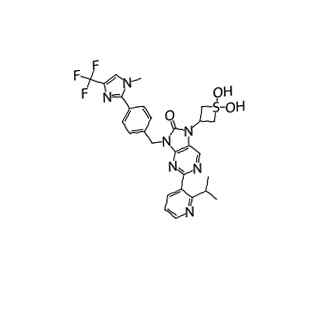 CC(C)c1ncccc1-c1ncc2c(n1)n(Cc1ccc(-c3nc(C(F)(F)F)cn3C)cc1)c(=O)n2C1CS(O)(O)C1